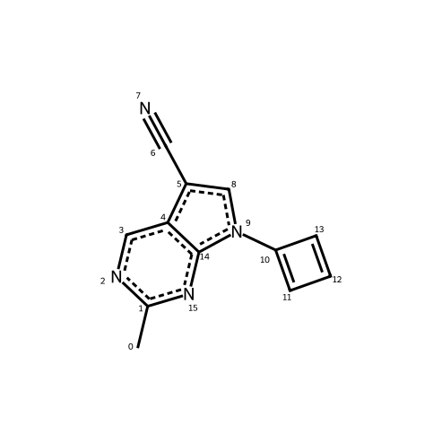 Cc1ncc2c(C#N)cn(C3=CC=C3)c2n1